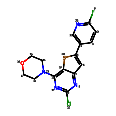 Fc1ccc(-c2cc3nc(Cl)nc(N4CCOCC4)c3s2)cn1